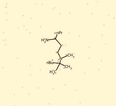 CCCCC(C)(C)N(C)CCC(N)CCC